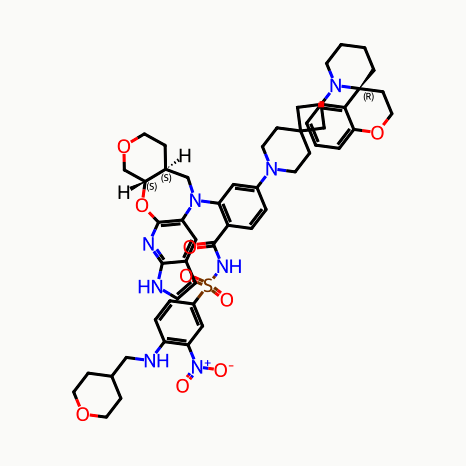 O=C(NS(=O)(=O)c1ccc(NCC2CCOCC2)c([N+](=O)[O-])c1)c1ccc(N2CCC3(CC2)CC(N2CCCC[C@]24CCOc2ccccc24)C3)cc1N1C[C@@H]2CCOC[C@H]2Oc2nc3[nH]ccc3cc21